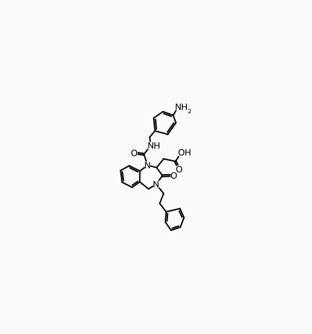 Nc1ccc(CNC(=O)N2c3ccccc3CN(CCc3ccccc3)C(=O)C2CC(=O)O)cc1